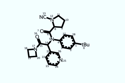 CC(C)(C)c1ccc(N(C(=O)C2CCCN2C#N)C(C(=O)N2CCC2)c2cccnc2)cc1